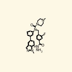 CN1CCN(C(=O)N(Cc2ccc(C(=O)NN)cc2F)c2cccc(-c3ccc4c(cnn4C)c3)c2)CC1